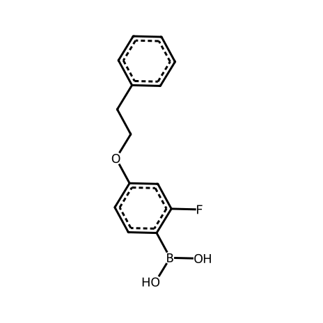 OB(O)c1ccc(OCCc2ccccc2)cc1F